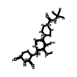 COc1c(NC2CCC(=O)NC2=O)ccc(N2CCN(C(=O)OC(C)(C)C)CC2)c1F